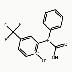 O=C(O)N(c1ccccc1)c1cc(C(F)(F)F)cc[n+]1[O-]